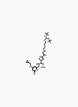 CCC[C@@H](NC(=O)C1CSC(/C(C)=N/OCCCCOP(OC(C)(C)C)OC(C)(C)C)=N1)c1cc(OCC2CC2)cc(=O)o1